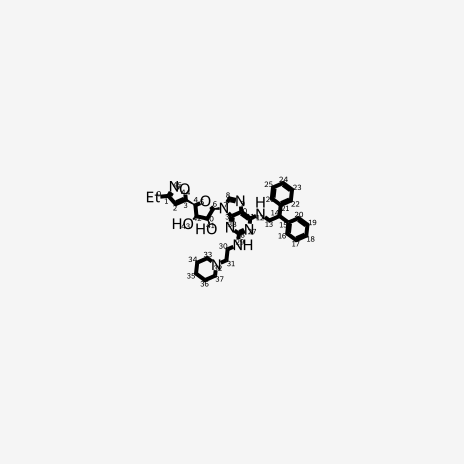 CCc1cc([C@H]2O[C@@H](n3cnc4c(NCC(c5ccccc5)c5ccccc5)nc(NCCN5CCCCC5)nc43)[C@H](O)[C@@H]2O)on1